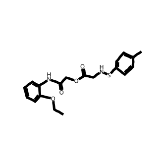 CCOc1ccccc1NC(=O)COC(=O)CNSc1ccc(C)cc1